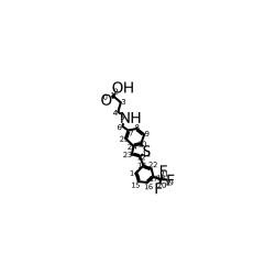 O=C(O)CCNCc1ccc2sc(-c3cccc(C(F)(F)F)c3)cc2c1